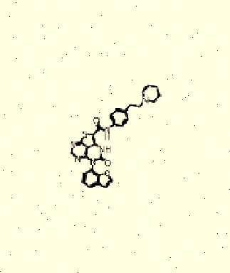 O=C(Nc1ccc(CCN2CCCCC2)cc1)c1sc2ncnc3c2c1NC(=O)N3c1cccc2ccoc12